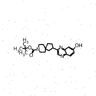 CC(C)(C)OC(=O)N1CCC2(CCC(c3cnc4ccc(O)cc4n3)C2)CC1